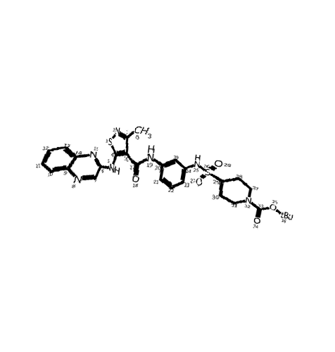 Cc1nsc(Nc2cnc3ccccc3n2)c1C(=O)Nc1cccc(NS(=O)(=O)C2CCN(C(=O)OC(C)(C)C)CC2)c1